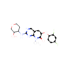 Cn1c(=O)c(Oc2ccc(F)cc2F)cc2cnc(NC3CCOCC3O)nc21